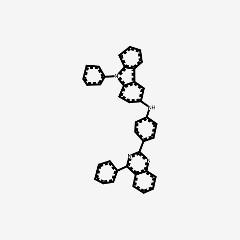 c1ccc(-c2nc(-c3ccc(Nc4ccc5c(c4)c4ccccc4n5-c4ccccc4)cc3)nc3ccccc23)cc1